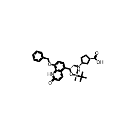 CC(C)(C)[Si](C)(C)O[C@@H](CN[C@H]1CC[C@@H](C(=O)O)C1)c1ccc(OCc2ccccc2)c2[nH]c(=O)ccc12